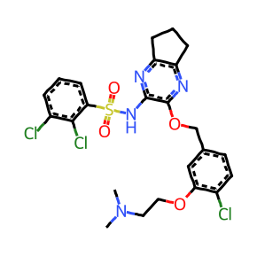 CN(C)CCOc1cc(COc2nc3c(nc2NS(=O)(=O)c2cccc(Cl)c2Cl)CCC3)ccc1Cl